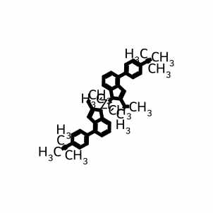 CCC1=Cc2c(-c3ccc(C(C)(C)C)cc3)cccc2[CH]1[Zr]([CH3])([CH3])[CH]1C(C(C)C)=Cc2c(-c3ccc(C(C)(C)C)cc3)cccc21